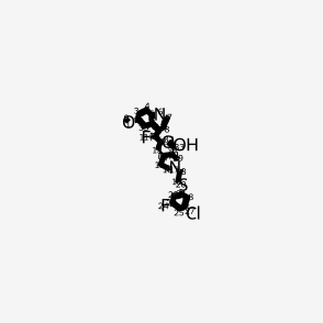 COc1ccc2nccc([C@H](F)CC[C@@H]3CCN(CCSc4cc(F)cc(Cl)c4)C[C@@H]3C(=O)O)c2c1